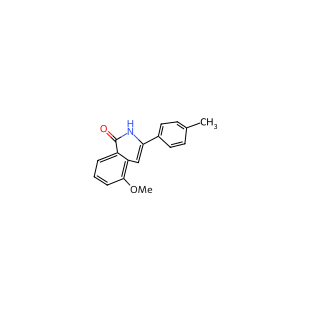 COc1cccc2c(=O)[nH]c(-c3ccc(C)cc3)cc12